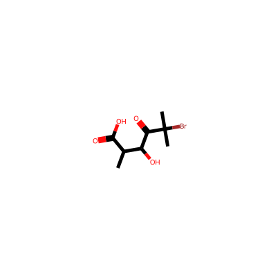 CC(C(=O)O)C(O)C(=O)C(C)(C)Br